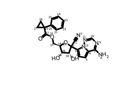 N#CC1(c2ccc3c(N)ncnn23)O[C@H](COC(=O)C2(c3ccccc3)CC2)[C@@H](O)[C@H]1O